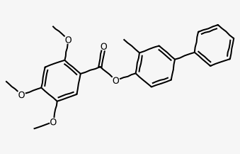 COc1cc(OC)c(C(=O)Oc2ccc(-c3ccccc3)cc2C)cc1OC